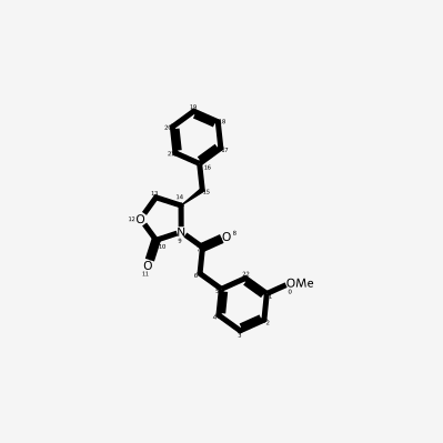 COc1cccc(CC(=O)N2C(=O)OC[C@H]2Cc2ccccc2)c1